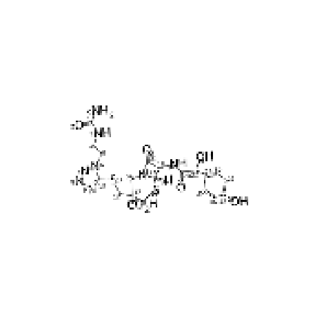 NC(=O)NCCn1nnnc1SCC1(C(=O)O)CS[C@@H]2C(NC(=O)C(O)c3ccc(O)cc3)C(=O)N2C1